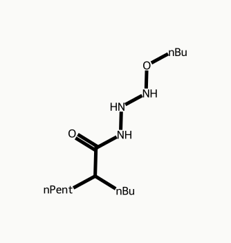 CCCCCC(CCCC)C(=O)NNNOCCCC